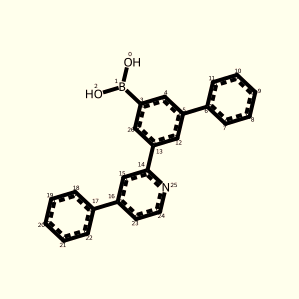 OB(O)c1cc(-c2ccccc2)cc(-c2cc(-c3ccccc3)ccn2)c1